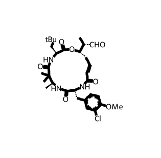 COc1ccc(C[C@H]2NC(=O)/C=C/C[C@@H]([C@H](C)C=O)OC(=O)[C@H](CC(C)(C)C)NC(=O)C(C)(C)[C@H](C)NC2=O)cc1Cl